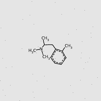 Cc1ccccc1CC(C)N(C)C